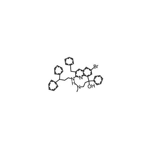 CN(C)CCC(O)(c1ccccc1)c1cc(Br)cc2cc(Cc3ccccc3)c(NCCC(c3ccccc3)c3ccccc3)nc12